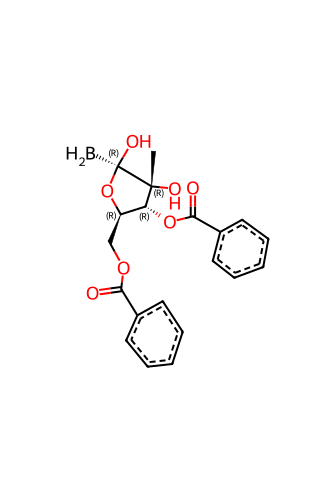 B[C@@]1(O)O[C@H](COC(=O)c2ccccc2)[C@@H](OC(=O)c2ccccc2)[C@@]1(C)O